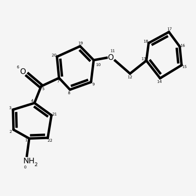 Nc1ccc(C(=O)c2ccc(OCc3ccccc3)cc2)cc1